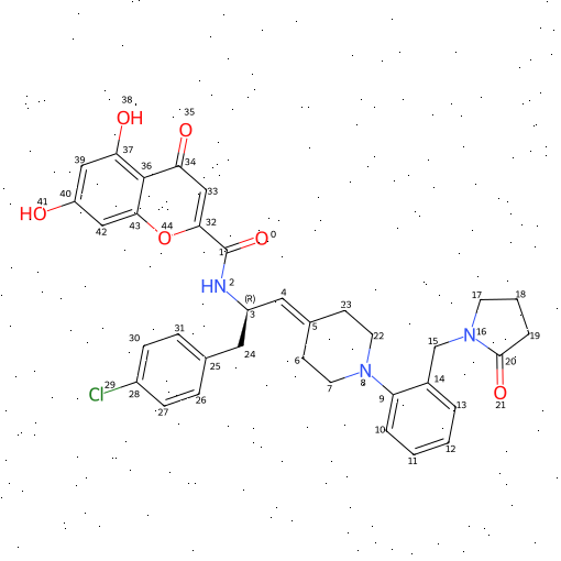 O=C(N[C@@H](C=C1CCN(c2ccccc2CN2CCCC2=O)CC1)Cc1ccc(Cl)cc1)c1cc(=O)c2c(O)cc(O)cc2o1